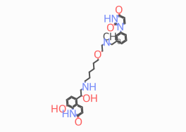 CN(CCOCCCCCCNC[C@@H](O)c1ccc(O)c2[nH]c(=O)ccc12)Cc1cccc(-n2ccc(=O)[nH]c2=O)c1